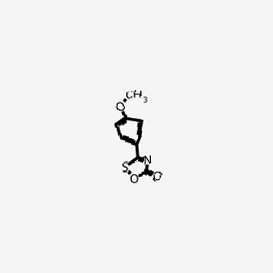 COc1ccc(-c2nc(=O)os2)cc1